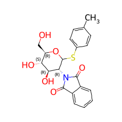 Cc1ccc(SC2O[C@H](CO)[C@@H](O)[C@H](O)[C@H]2N2C(=O)c3ccccc3C2=O)cc1